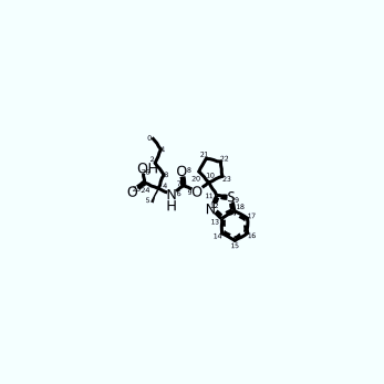 CCCC[C@](C)(NC(=O)OC1(c2nc3ccccc3s2)CCCC1)C(=O)O